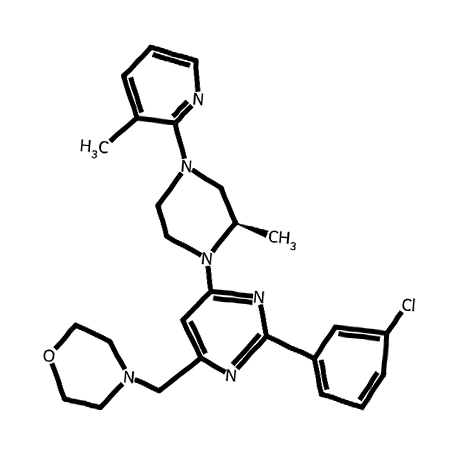 Cc1cccnc1N1CCN(c2cc(CN3CCOCC3)nc(-c3cccc(Cl)c3)n2)[C@H](C)C1